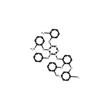 Nc1ccccc1Oc1cccc(Op2npn(Oc3ccccc3N)p(Oc3ccccc3N)n2Oc2ccccc2)c1Oc1ccccc1N